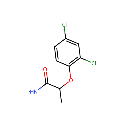 CC(Oc1ccc(Cl)cc1Cl)C([NH])=O